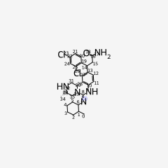 CC1CCCCC1/N=C(/Nc1ccc(C(CC(N)=O)c2ccc(Cl)cc2Cl)cc1)N1CCN[C@@H](C)C1